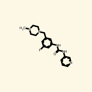 CN1CCN(Cc2cc(F)cc(NC(=O)Nc3cccnc3)c2)CC1